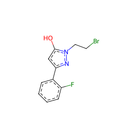 Oc1cc(-c2ccccc2F)nn1CCBr